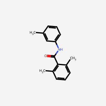 Cc1cccc(NC(=O)c2c(C)cccc2C)c1